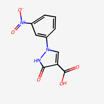 O=C(O)c1cn(-c2cccc([N+](=O)[O-])c2)[nH]c1=O